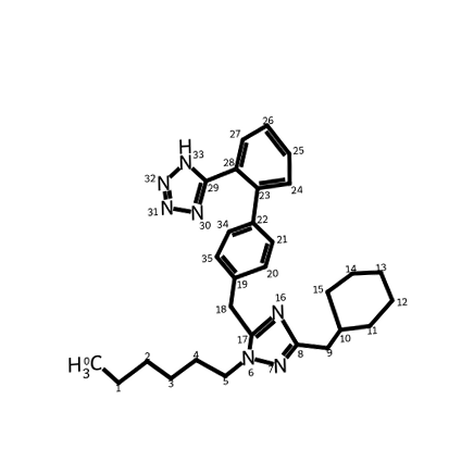 CCCCCCn1nc(CC2CCCCC2)nc1Cc1ccc(-c2ccccc2-c2nnn[nH]2)cc1